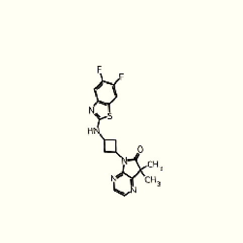 CC1(C)C(=O)N(C2CC(Nc3nc4cc(F)c(F)cc4s3)C2)c2nccnc21